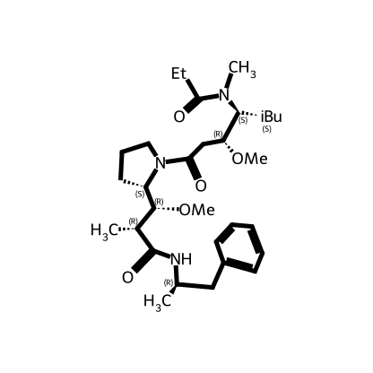 CCC(=O)N(C)[C@@H]([C@@H](C)CC)[C@@H](CC(=O)N1CCC[C@H]1[C@H](OC)[C@@H](C)C(=O)N[C@H](C)Cc1ccccc1)OC